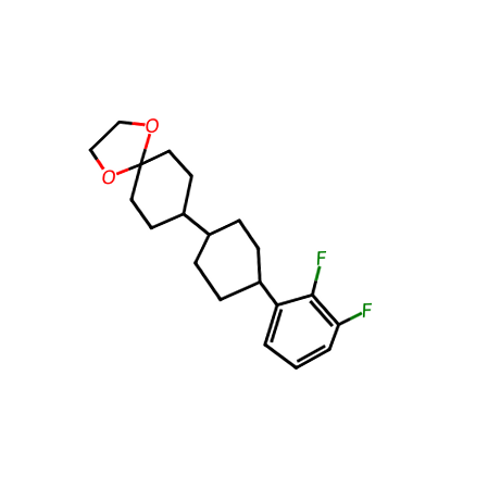 Fc1cccc(C2CCC(C3CCC4(CC3)OCCO4)CC2)c1F